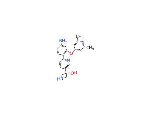 Cc1cc(Oc2cc(N)ccc2-c2ccc(C3(O)CNC3)cn2)cc(C)n1